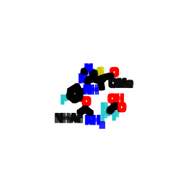 COC(=O)c1sc2ncnc(Nc3ccc(F)cc3OC(CN)CNC(C)=O)c2c1C.O=C(O)C(F)(F)F